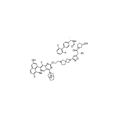 C#Cc1c(F)ccc2cc(O)cc(-c3ncc4c(N5CC6CCC(C5)N6)nc(OCCN5CCC6(C5)CN(c5cc([C@H](C(=O)N7C[C@H](O)C[C@H]7C(=O)N[C@@H](C)c7ccc(-c8c(F)cccc8F)cc7)C(C)C)on5)C6)nc4c3F)c12